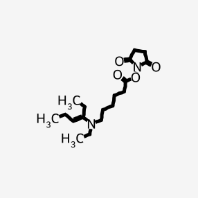 CC/C=C(\CC)N(CC)CCCCCC(=O)ON1C(=O)CCC1=O